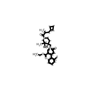 CCOC(=O)c1cn(C[C@]2(O)CCN(C(=O)C(C)CC3CCC3)CC2(C)C)c(=O)cc1-c1ccccc1F